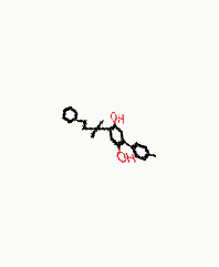 Cc1ccc(-c2cc(O)c(C(C)(C)CCc3ccccc3)cc2O)cc1